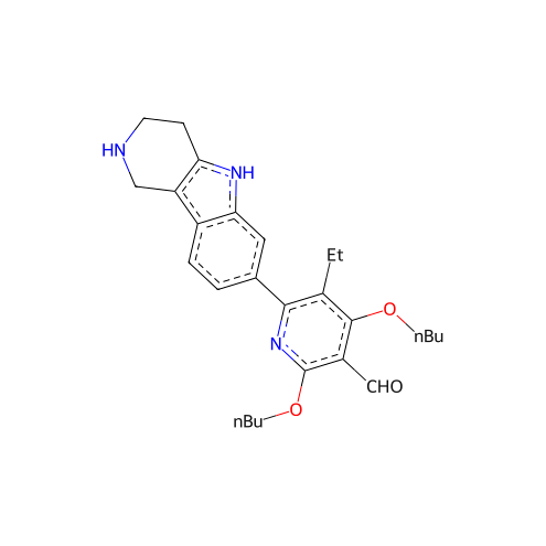 CCCCOc1nc(-c2ccc3c4c([nH]c3c2)CCNC4)c(CC)c(OCCCC)c1C=O